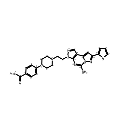 CNC(=O)c1ccc(N2CCN(CCn3ncc4c3nc(N)n3nc(-c5ccco5)cc43)CC2)cc1